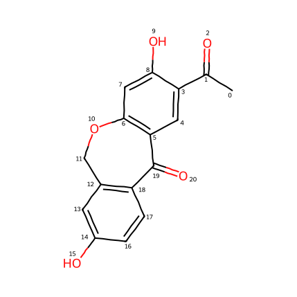 CC(=O)c1cc2c(cc1O)OCc1cc(O)ccc1C2=O